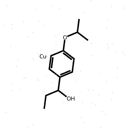 CCC(O)c1ccc(OC(C)C)cc1.[Cu]